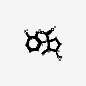 Cc1c(F)cccc1[C@]1(C(=O)O)CC[C@@H](O)C1C